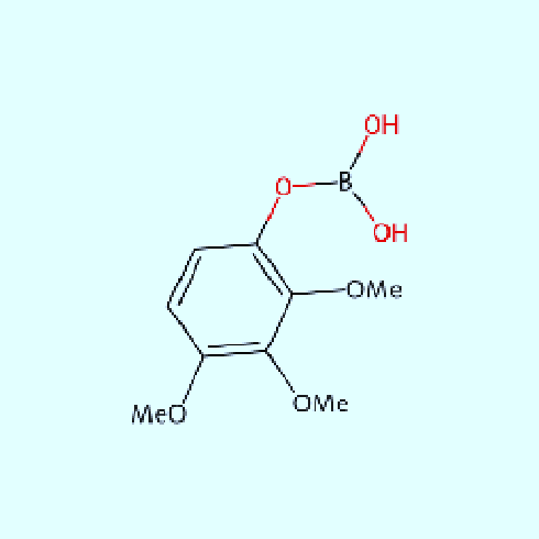 COc1ccc(OB(O)O)c(OC)c1OC